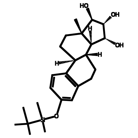 CC(C)(C)[Si](C)(C)Oc1ccc2c(c1)CC[C@H]1[C@@H]3[C@@H](O)[C@@H](O)[C@H](O)[C@@]3(C)CC[C@H]21